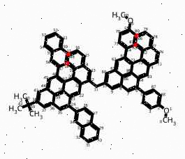 COc1ccc(-c2cc3cc(Cc4cc5ccccc5c5c4cc4c(-c6ccc7ccccc7c6)cc6cc(C(C)(C)C)cc7cc(-c8ccc9ccccc9c8)c5c4c67)cc4cc(-c5ccc(OC)cc5)c5c6c(ccc7ccccc76)cc2c5c34)cc1